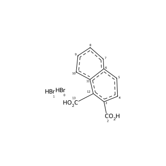 Br.Br.O=C(O)c1ccc2ccccc2c1C(=O)O